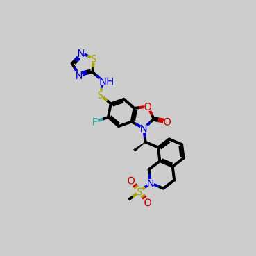 C[C@H](c1cccc2c1CN(S(C)(=O)=O)CC2)n1c(=O)oc2cc(SNc3ncns3)c(F)cc21